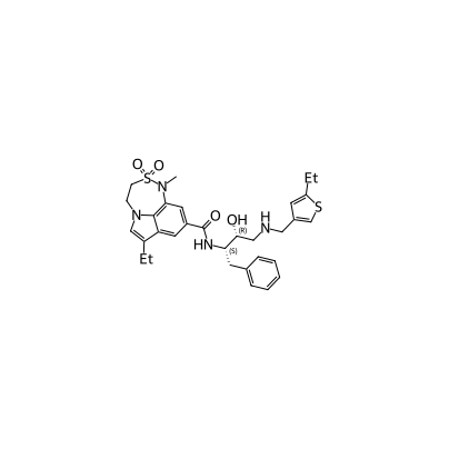 CCc1cc(CNC[C@@H](O)[C@H](Cc2ccccc2)NC(=O)c2cc3c4c(c2)c(CC)cn4CCS(=O)(=O)N3C)cs1